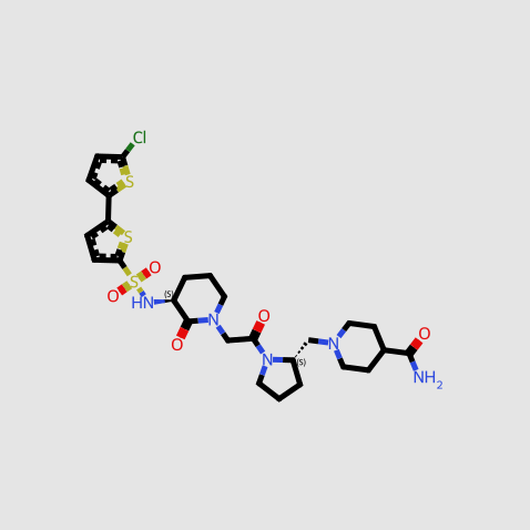 NC(=O)C1CCN(C[C@@H]2CCCN2C(=O)CN2CCC[C@H](NS(=O)(=O)c3ccc(-c4ccc(Cl)s4)s3)C2=O)CC1